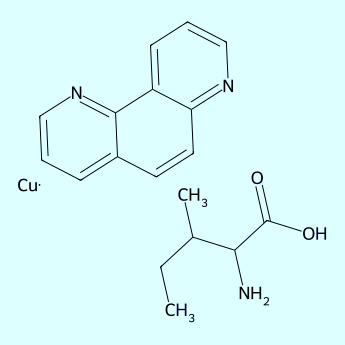 CCC(C)C(N)C(=O)O.[Cu].c1cnc2c(c1)ccc1ncccc12